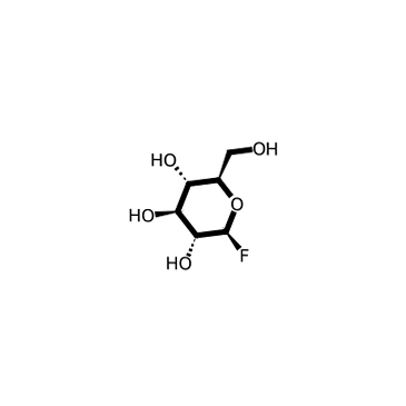 OC[C@H]1O[C@@H](F)[C@H](O)[C@@H](O)[C@@H]1O